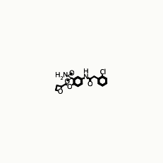 NS(=O)(=O)c1cc(NC(=O)Cc2ccccc2Cl)ccc1OCC1CCO1